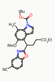 CCOC(=O)CCC(c1nc2cc(C#N)ccc2o1)c1c(OC)cc(C)c2c1ccn2C(=O)OC(C)(C)C